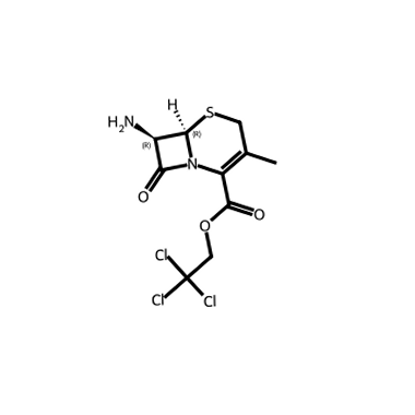 CC1=C(C(=O)OCC(Cl)(Cl)Cl)N2C(=O)[C@@H](N)[C@H]2SC1